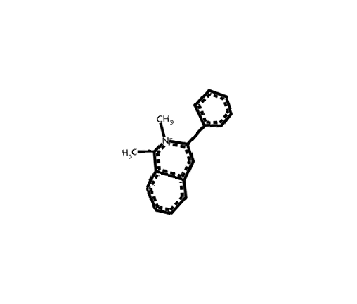 Cc1c2ccccc2cc(-c2ccccc2)[n+]1C